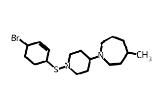 CC1CCCN(C2CCN(SC3C=CC(Br)CC3)CC2)CC1